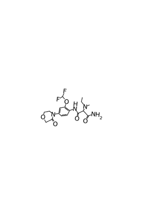 CCN(C)[C@@H](C(N)=O)C(=O)Nc1ccc(N2CCOCC2=O)cc1OC(F)F